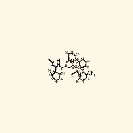 C=C/C=C(\NCCCC1C(C(=C)[n+]2cc(C(F)(F)F)ccc2C)c2ccccc2-c2cccc[n+]21)c1c(C)cccc1C